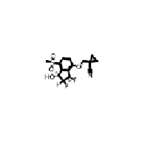 CS(=O)(=O)c1ccc(OCC2(C#N)CC2)c2c1[C@H](O)C(F)(F)[C@@H]2F